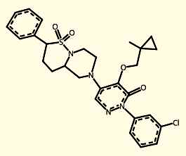 CC1(COc2c(N3CCN4C(CCC(c5ccccc5)S4(=O)=O)C3)cnn(-c3cccc(Cl)c3)c2=O)CC1